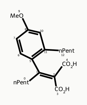 CCCCCC(=C(C(=O)O)C(=O)O)c1ccc(OC)cc1CCCCC